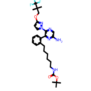 CC(C)(C)OC(=O)NCCCCCCc1ccccc1-c1nc(N)cnc1-n1ccc(OCC(C)(C)C(F)(F)F)n1